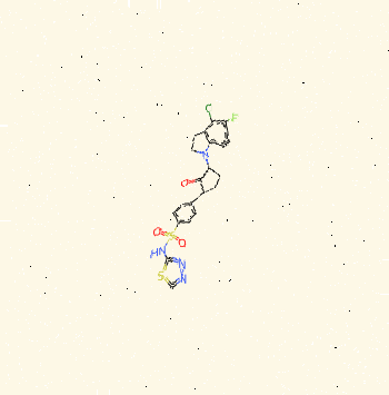 O=C1C(c2ccc(S(=O)(=O)Nc3nncs3)cc2)CC[C@@H]1N1CCc2c1ccc(F)c2Cl